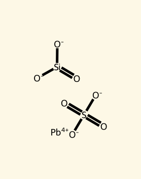 O=S(=O)([O-])[O-].O=[Si]([O-])[O-].[Pb+4]